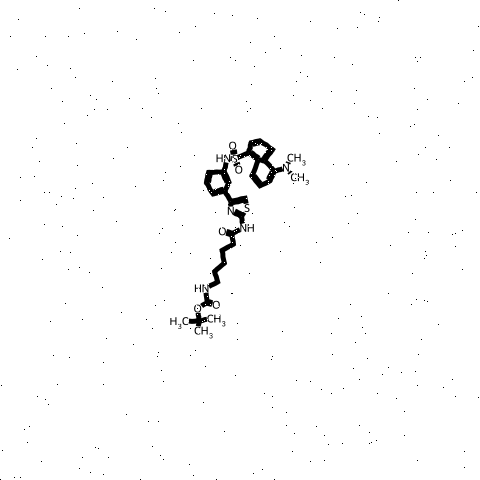 CN(C)c1cccc2c(S(=O)(=O)Nc3cccc(-c4csc(NC(=O)CCCCCNC(=O)OC(C)(C)C)n4)c3)cccc12